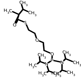 CC(C)C(C)C(=O)SCCOCCOP(N(C(C)C)C(C)C)N(C(C)C)C(C)C